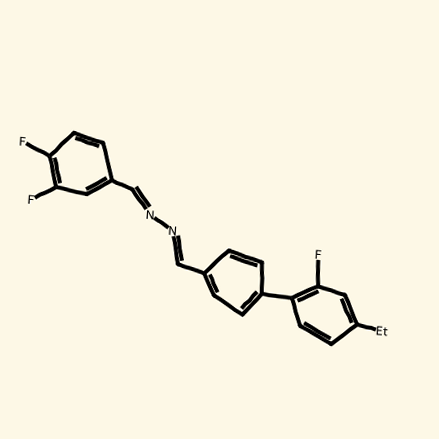 CCc1ccc(-c2ccc(C=NN=Cc3ccc(F)c(F)c3)cc2)c(F)c1